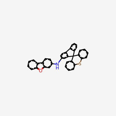 c1ccc2c(c1)Sc1ccccc1C21c2ccccc2-c2ccc(Nc3ccc4c(c3)oc3ccccc34)cc21